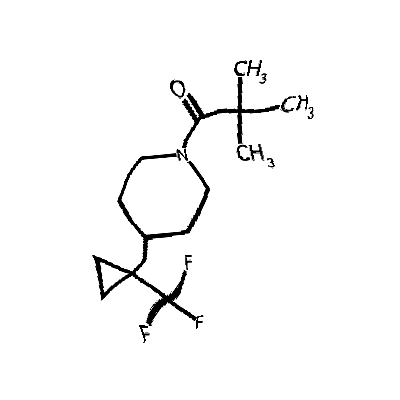 CC(C)(C)C(=O)N1CCC(C2(C(F)(F)F)CC2)CC1